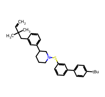 C=CC(C)(C)Cc1cccc(C2CCCN(Sc3cccc(-c4ccc(C(C)(C)C)cc4)c3)C2)c1